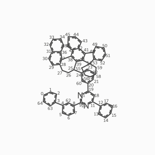 c1ccc(-c2cccc(-c3nc(-c4ccccc4)cc(-c4cccc(C5CCc6ccc7ccccc7c6-c6c5c5c(c7ccccc67)-c6ccccc6C56CCCCC6)c4)n3)c2)cc1